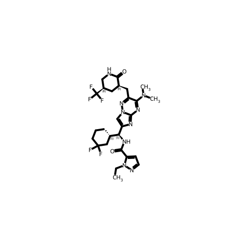 CCn1nccc1C(=O)N[C@H](c1cn2nc(C[C@H]3C[C@@H](C(F)(F)F)CNC3=O)c(N(C)C)nc2n1)[C@H]1CCCC(F)(F)C1